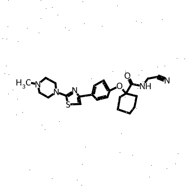 CN1CCN(c2nc(-c3ccc(OC4(C(=O)NCC#N)CCCCC4)cc3)cs2)CC1